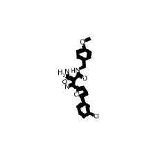 COc1ccc(CNC(=O)c2c(-c3ccc(-c4cccc(Cl)c4)o3)noc2N)cc1